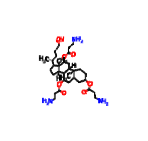 C[C@H](CCCO)C1CC[C@H]2C3[C@H](OC(=O)CCN)CC4C[C@H](OC(=O)CCN)CCC4(C)[C@H]3C[C@H](OC(=O)CCN)C12C